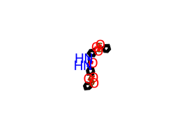 O=C(Nc1ccc(OS(=O)(=O)c2ccccc2)cc1)Nc1ccc(OS(=O)(=O)c2ccccc2)cc1